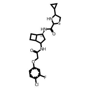 O=C(COc1ccc(Cl)c(F)c1)NC1C[C@H](NC(=O)C2NC(C3CC3)CS2)C2CCC12